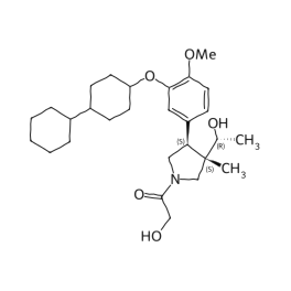 COc1ccc([C@@H]2CN(C(=O)CO)C[C@@]2(C)[C@@H](C)O)cc1OC1CCC(C2CCCCC2)CC1